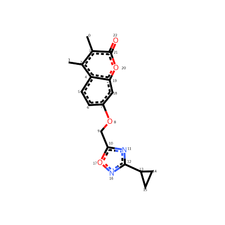 Cc1c(C)c2ccc(OCc3nc(C4CC4)no3)cc2oc1=O